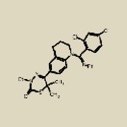 CCN=C(c1ccc(Cl)cc1Cl)N1CCCc2cc(C3=NN(CC)C(=O)SC3(C)C)ccc21